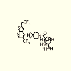 [2H]C([2H])=C1CC2CC[C@H]1[C@@H](C(=O)N1CCC3(CC1)CN(c1c(C(F)(F)F)cnc4sc(CC(F)(F)F)cc14)C3)N2